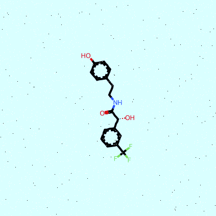 O=C(NCCc1ccc(O)cc1)[C@H](O)c1cccc(C(F)(F)F)c1